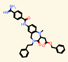 CN1c2ccc(NC(=O)c3ccc(C(=N)N)cc3)cc2CN(CCc2ccccc2)C(=O)C1CC(=O)OCc1ccccc1